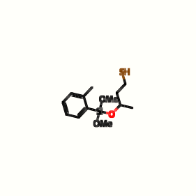 CO[Si](OC)(OC(C)CCS)c1ccccc1C